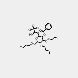 CCCCOCC1O[C@@H](OC(=N)C(Cl)(Cl)Cl)C(OC(=O)c2ccccc2)C(OCCCC)[C@@H]1OCCCC